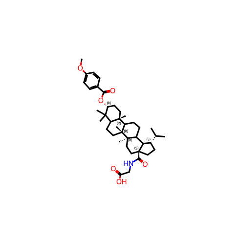 COc1ccc(C(=O)O[C@@H]2CC[C@@]3(C)C(CC[C@]4(C)C3CCC3C5[C@H](C(C)C)CC[C@]5(C(=O)NCC(=O)O)CC[C@]34C)C2(C)C)cc1